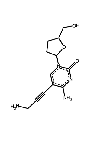 NCC#Cc1cn(C2CCC(CO)O2)c(=O)nc1N